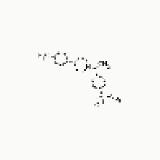 C=C(c1ccc(C2(OC(C)C)COC2)cc1)N1CCC(c2ccc(C(F)(F)F)cc2)CC1